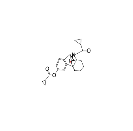 O=C(Oc1ccc2c(c1)[C@@]13CCCC[C@H]1[N@@](C2)N(C(=O)C1CC1)CC3)C1CC1